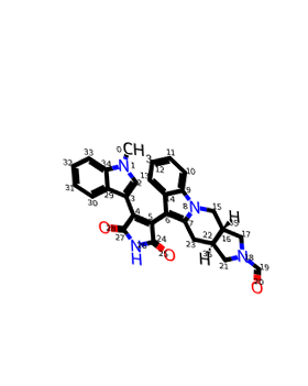 Cn1cc(C2=C(c3c4n(c5ccccc35)C[C@@H]3CN(C=O)C[C@H]3C4)C(=O)NC2=O)c2ccccc21